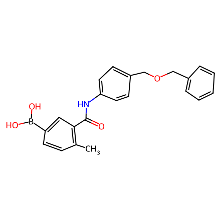 Cc1ccc(B(O)O)cc1C(=O)Nc1ccc(COCc2ccccc2)cc1